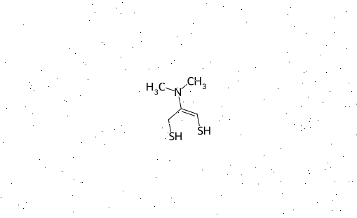 CN(C)C(=CS)CS